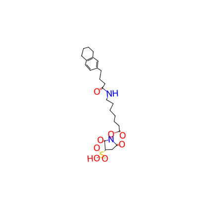 O=C(CCCc1ccc2c(c1)CCCC2)NCCCCCCC(=O)ON1C(=O)CC(S(=O)(=O)O)C1=O